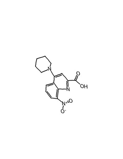 O=C(O)c1cc(N2CCCCC2)c2cccc([N+](=O)[O-])c2n1